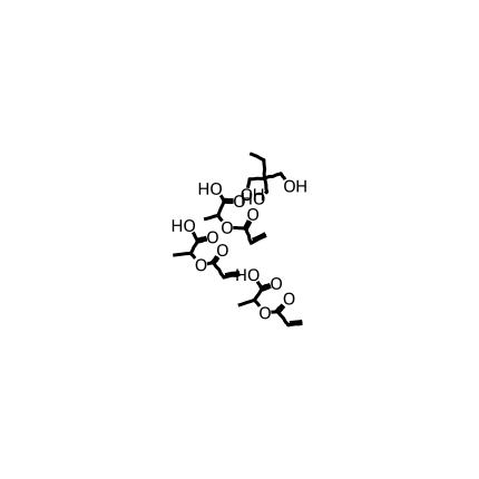 C=CC(=O)OC(C)C(=O)O.C=CC(=O)OC(C)C(=O)O.C=CC(=O)OC(C)C(=O)O.CCC(CO)(CO)CO